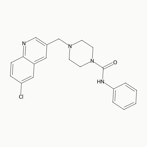 O=C(Nc1ccccc1)N1CCN(Cc2cnc3ccc(Cl)cc3c2)CC1